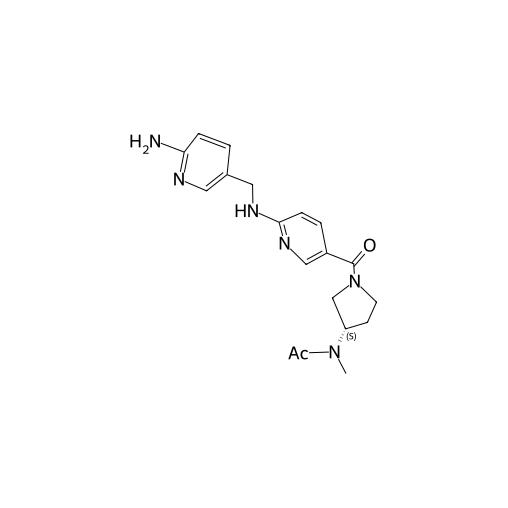 CC(=O)N(C)[C@H]1CCN(C(=O)c2ccc(NCc3ccc(N)nc3)nc2)C1